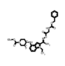 CC(C)(C)OC(=O)N1CC[C@@H](Nc2cccc3c2cc(C(N)=NOC(=O)CNC(=O)OCc2ccccc2)n3CC(F)(F)F)[C@@H](F)C1